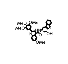 COc1ccc2nc(-c3cc(OC)c(OC)c(OC)c3)cc(C(=O)N[C@@H](CCO)Cc3csc4ccccc34)c2c1